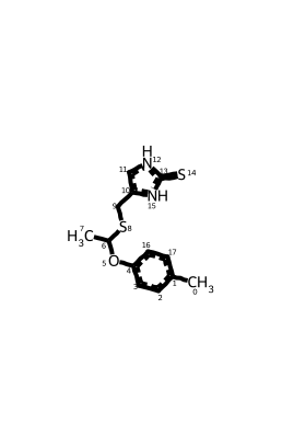 Cc1ccc(OC(C)SCc2c[nH]c(=S)[nH]2)cc1